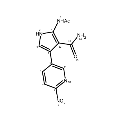 CC(=O)Nc1[nH]cc(-c2ccc([N+](=O)[O-])nc2)c1C(N)=O